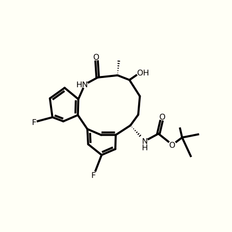 C[C@H]1C(=O)Nc2ccc(F)cc2-c2cc(F)cc(c2)[C@@H](NC(=O)OC(C)(C)C)CCC1O